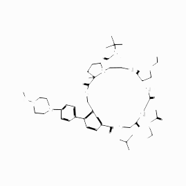 CPN1CCN(c2ccc(-c3ccc4cc3CNC(=O)[C@@H]3CCCN3[C@H](C(=O)NC(C)(C)C)[C@H](C)NC(=O)[C@H]([C@@H](C)OCP)NC(=O)[C@H](CC(=O)OCP)NC(=O)[C@H](CC(C)C)NC4=O)cc2)CC1